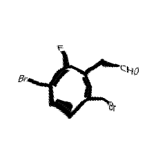 O=CCc1c(Br)ccc(Br)c1F